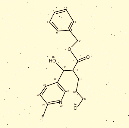 O=C(OCc1ccccc1)C(CCCCl)C(O)c1ccc(F)nc1